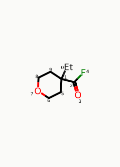 CCC1(C(=O)F)CCOCC1